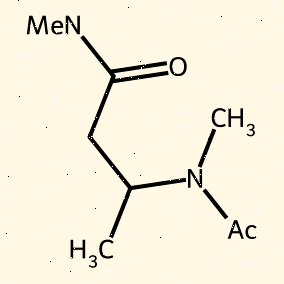 CNC(=O)CC(C)N(C)C(C)=O